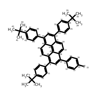 CC(C)(C)c1ccc(-c2cc(-c3ccc(F)cc3)c3ccc4c(-c5ccc(C(C)(C)C)cc5)cc(-c5ccc(C(C)(C)C)cc5)c5ccc2c3c45)cc1